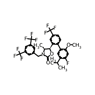 COc1cc(F)c(C(C)C)cc1-c1ccc(C(F)(F)F)cc1[C@H]1OC(=O)N(Cc2cc(C(F)(F)F)cc(C(F)(F)F)c2)[C@H]1C